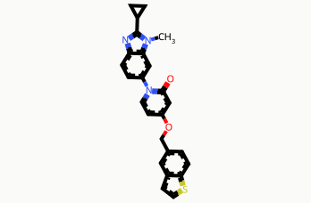 Cn1c(C2CC2)nc2ccc(-n3ccc(OCc4ccc5sccc5c4)cc3=O)cc21